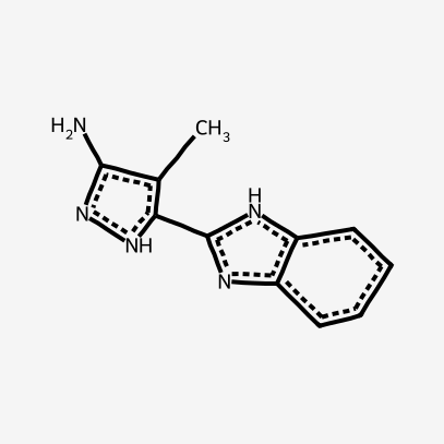 Cc1c(N)n[nH]c1-c1nc2ccccc2[nH]1